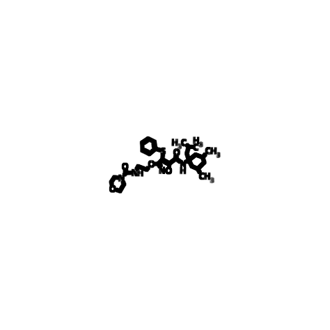 CC(C)CC1(NC(=O)c2onc(OCCNC(=O)N3CCOCC3)c2Sc2ccccc2)CC(C)CC(C)C1